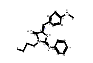 CCCCN1C(=O)/C(=C/c2ccc(OC)cc2)S/C1=N\c1ccccc1